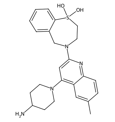 Cc1ccc2nc(N3CCS(O)(O)c4ccccc4C3)cc(N3CCC(N)CC3)c2c1